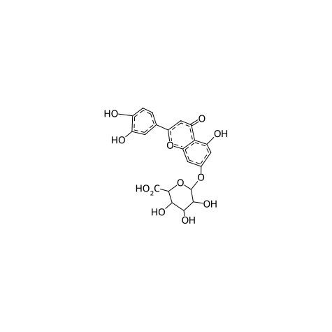 O=C(O)C1OC(Oc2cc(O)c3c(=O)cc(-c4ccc(O)c(O)c4)oc3c2)C(O)C(O)C1O